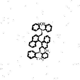 Cc1ccccc1P(Cc1ccc2ccccc2c1-c1c(CP(c2ccccc2C)c2ccccc2C)ccc2ccccc12)c1ccccc1C